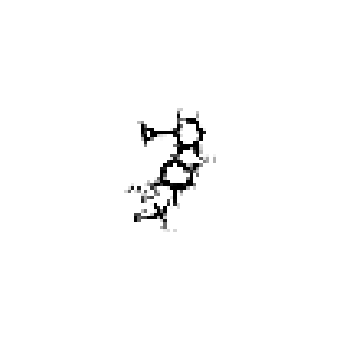 [CH2]CC(Oc1cc2[nH]c3ccnc(C4CC4)c3c2cc1OC)(C(C)C)C(C)C